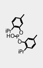 Cc1ccc(C(C)C)c(OP(O)Oc2cc(C)ccc2C(C)C)c1